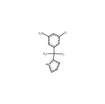 CC(C)(c1cc(Cl)cc([N+](=O)[O-])c1)c1ccc[nH]1